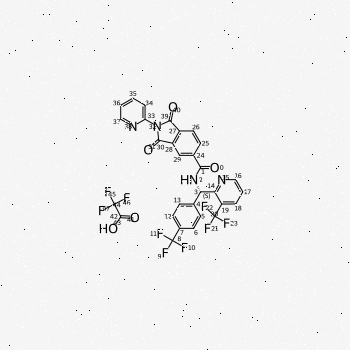 O=C(N[C@@H](c1ccc(C(F)(F)F)cc1)c1ncccc1C(F)(F)F)c1ccc2c(c1)C(=O)N(c1ccccn1)C2=O.O=C(O)C(F)(F)F